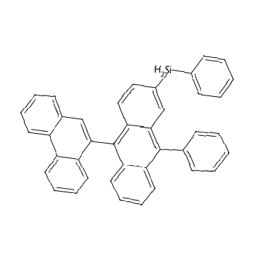 c1ccc([SiH2]c2ccc3c(-c4cc5ccccc5c5ccccc45)c4ccccc4c(-c4ccccc4)c3c2)cc1